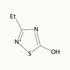 CCC1=[N+]SC(O)=N1